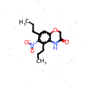 CCCc1cc2c(c(CCC)c1[N+](=O)[O-])NC(=O)CO2